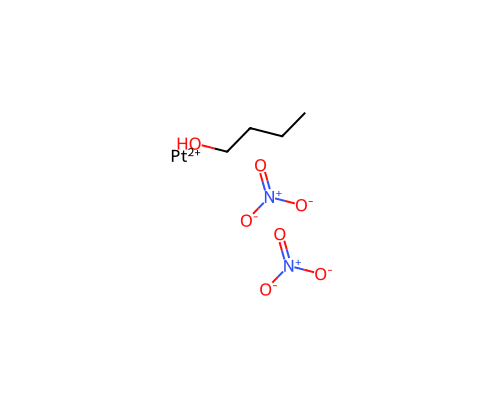 CCCCO.O=[N+]([O-])[O-].O=[N+]([O-])[O-].[Pt+2]